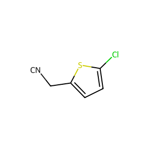 [C-]#[N+]Cc1ccc(Cl)s1